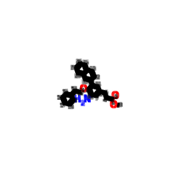 COC(=O)CCc1cc(N)c(OCCc2ccccc2)c(-c2ccc3ccccc3c2)c1